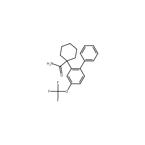 NC(=O)C1(c2cc(OC(F)(F)F)ccc2-c2ccccc2)CCCCC1